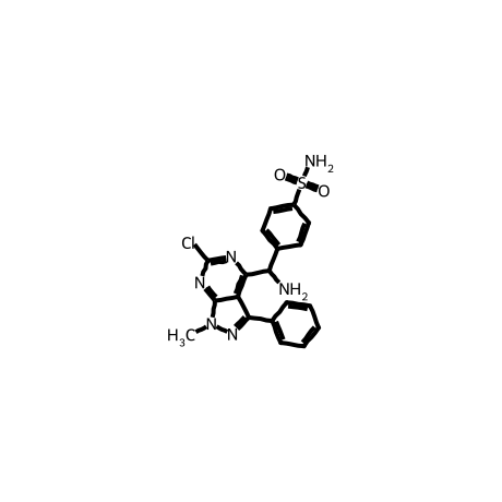 Cn1nc(-c2ccccc2)c2c(C(N)c3ccc(S(N)(=O)=O)cc3)nc(Cl)nc21